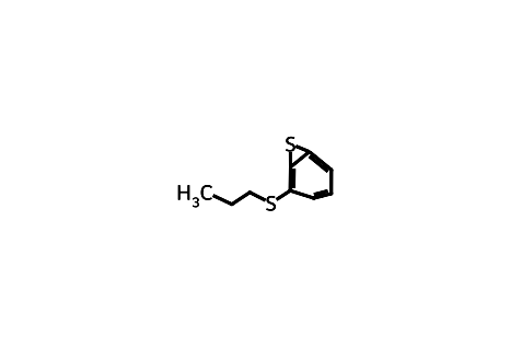 CCCSc1cccc2c1S2